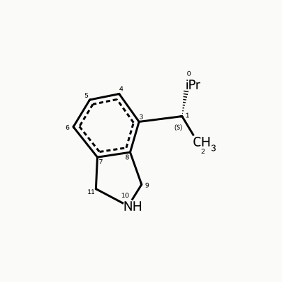 CC(C)[C@H](C)c1cccc2c1CNC2